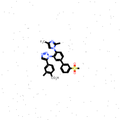 Cc1cc(-c2cnnn2-c2cc(-c3cccc(S(C)(=O)=O)c3)ccc2-n2cc(C(F)(F)F)nc2C)ccc1C(=O)O